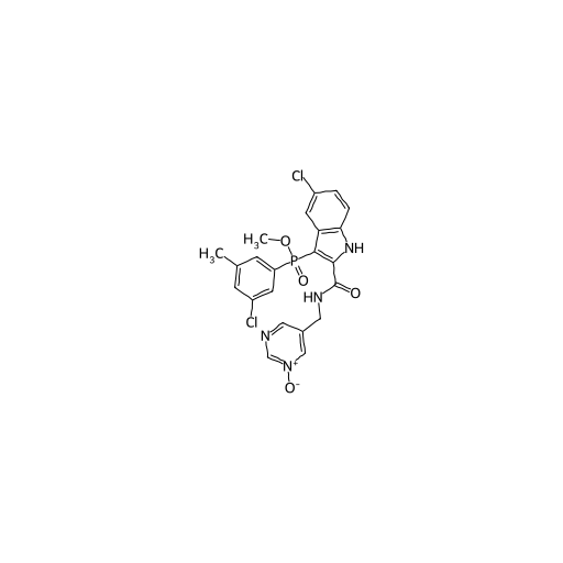 COP(=O)(c1cc(C)cc(Cl)c1)c1c(C(=O)NCc2cnc[n+]([O-])c2)[nH]c2ccc(Cl)cc12